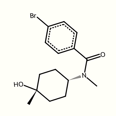 CN(C(=O)c1ccc(Br)cc1)[C@H]1CC[C@@](C)(O)CC1